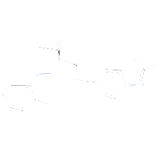 CC(=O)C(N=Nc1ccccc1Cl)C(=O)Nc1ccc2[nH]c(=O)[nH]c2c1